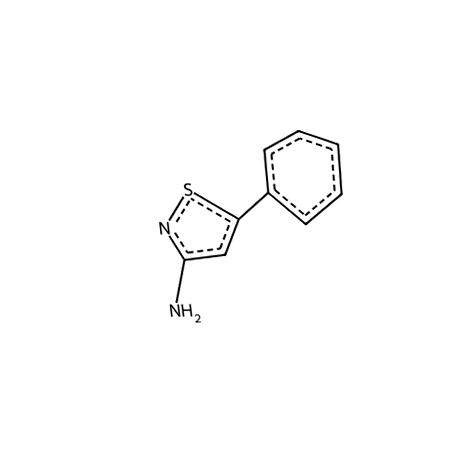 Nc1cc(-c2ccccc2)sn1